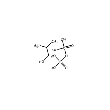 CC(C)CO.O=P(O)(O)OP(=O)(O)O